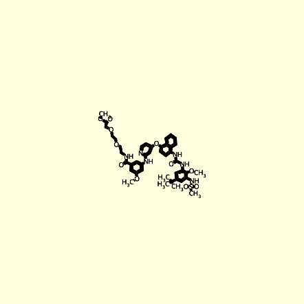 COC(=O)COCCOCCNC(=O)c1cc(Nc2cc(Oc3ccc(NC(=O)Nc4cc(C(C)(C)C)cc(NS(C)(=O)=O)c4OC)c4ccccc34)ccn2)cc(OC)c1